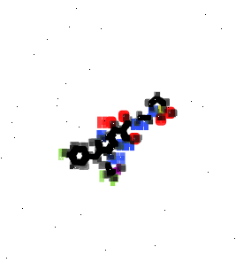 O=C(NCCN1CCCS1(=O)=O)c1c(O)c2ncc(Cc3ccc(F)cc3)c(NCC(F)(F)I)c2[nH]c1=O